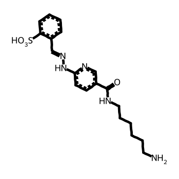 NCCCCCCNC(=O)c1ccc(NN=Cc2ccccc2S(=O)(=O)O)nc1